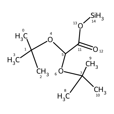 CC(C)(C)OC(OC(C)(C)C)C(=O)O[SiH3]